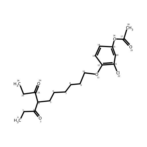 CCC(=O)C(CCCCCCOc1ccc(OC(C)=O)cc1Cl)C(=O)CC